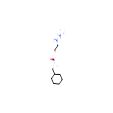 [N-]=[N+]=NCCOC(=O)NCC1CCCCC1